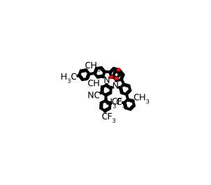 Cc1cc(C)c(-c2ccc3c4ccccc4n(-c4cc(C#N)c(-c5ccc(C(F)(F)F)cc5C(F)(F)F)cc4-n4c5ccccc5c5ccc(-c6c(C)cccc6C)cc54)c3c2)c(C)c1